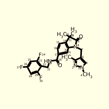 Cc1nn(C)cc1CN1C(=O)C(C)(C)c2ccc(C(=O)NCc3c(F)cc(F)cc3F)cc21